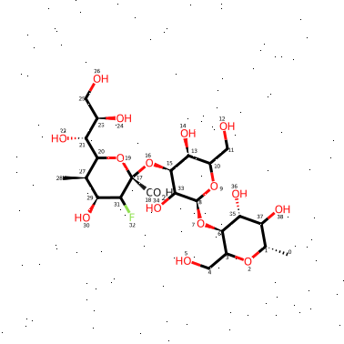 C[C@@H]1OC(CO)[C@@H](O[C@@H]2OC(CO)[C@H](O)[C@H](O[C@@]3(C(=O)O)OC([C@H](O)[C@H](O)CO)[C@H](C)[C@H](O)C3F)C2O)[C@H](O)C1O